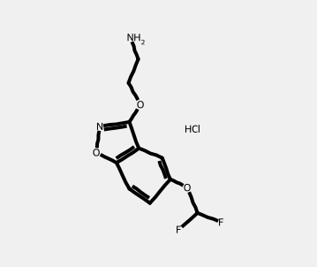 Cl.NCCOc1noc2ccc(OC(F)F)cc12